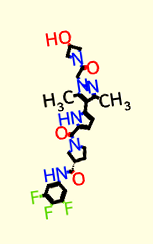 Cc1nn(CC(=O)N2CC(O)C2)c(C)c1-c1ccc(C(=O)N2CC[C@H](C(=O)Nc3cc(F)c(F)c(F)c3)C2)[nH]1